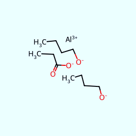 CCC(=O)[O-].CCCC[O-].CCCC[O-].[Al+3]